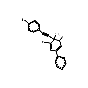 CCc1ccc(C#CC2(N)C(F)=CC(c3ccccc3)=CC2F)cc1